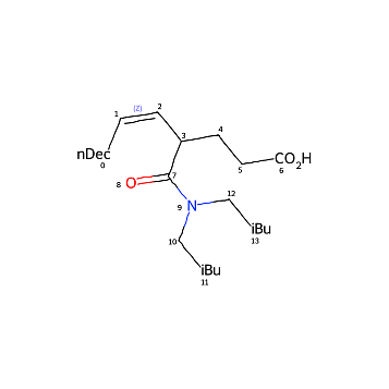 CCCCCCCCCC/C=C\C(CCC(=O)O)C(=O)N(CC(C)CC)CC(C)CC